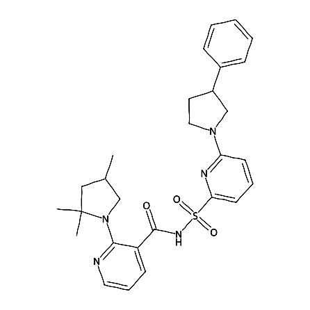 CC1CN(c2ncccc2C(=O)NS(=O)(=O)c2cccc(N3CCC(c4ccccc4)C3)n2)C(C)(C)C1